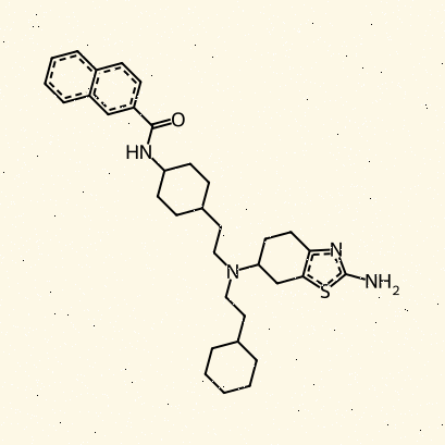 Nc1nc2c(s1)CC(N(CCC1CCCCC1)CCC1CCC(NC(=O)c3ccc4ccccc4c3)CC1)CC2